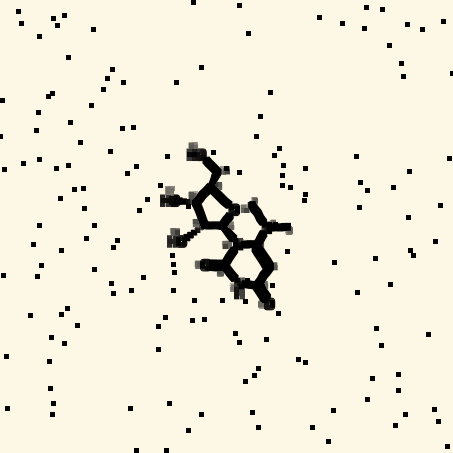 CN(C)c1cc(=O)[nH]c(=O)n1[C@@H]1O[C@H](CO)[C@@H](O)[C@H]1O